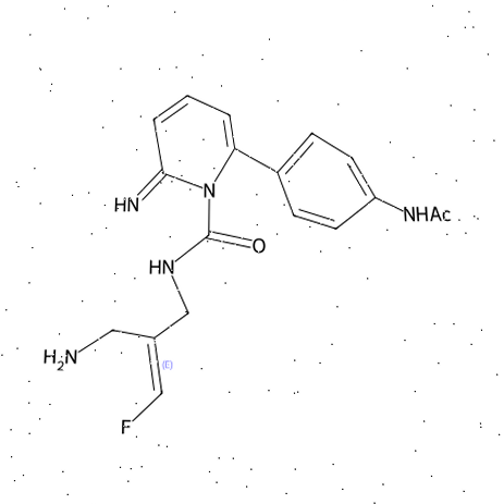 CC(=O)Nc1ccc(-c2cccc(=N)n2C(=O)NC/C(=C/F)CN)cc1